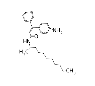 CCCCCCCCCC(C)NC(=O)C=C(c1ccccc1)c1ccc(N)cc1